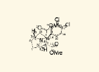 COC(=O)CN1[C@@H]2CC[C@H]1[C@@H](C(=O)OC)[C@H](c1ccc(Cl)c(Cl)c1)C2